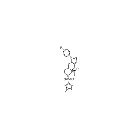 CC(=O)[C@]12Cc3cnn(-c4ccc(F)cc4)c3C=C1CCN(S(=O)(=O)c1cnn(C)n1)C2